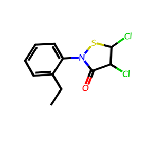 CCc1ccccc1N1SC(Cl)C(Cl)C1=O